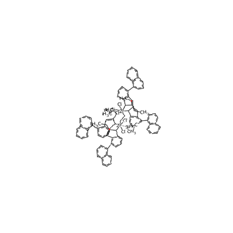 CCC1=Cc2c(-c3cccc4ccccc34)cccc2[CH]1[Zr]([Cl])([Cl])([CH2][CH2][Zr]([Cl])([Cl])([SiH2]C)([CH]1C(CC)=Cc2c(-c3cccc4ccccc34)cccc21)[CH]1C(CC)=Cc2c(-c3cccc4ccccc34)cccc21)([SiH2]C)[CH]1C(CC)=Cc2c(-c3cccc4ccccc34)cccc21